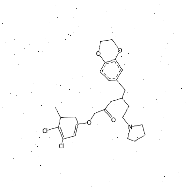 CC1CC(OCC(=O)CC(CCN2CCCC2)Cc2ccc3c(c2)OCCO3)=CC(Cl)=C1Cl